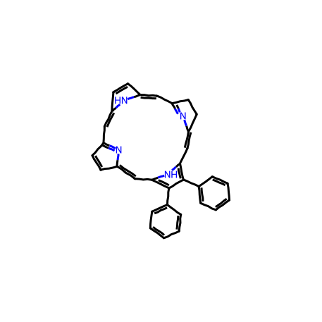 C1=Cc2cc3[nH]c(cc4nc(cc5ccc(cc1n2)[nH]5)CC4)c(-c1ccccc1)c3-c1ccccc1